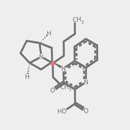 CCCCC(CC)N1[C@@H]2CC[C@H]1C[C@@H](n1c(=O)c(C(=O)O)nc3ccccc31)C2